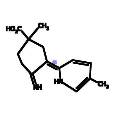 CC1=CN/C(=C2/CC(C)(C(=O)O)CCC2=N)C=C1